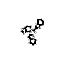 O=C(c1nc2ccccc2o1)N1CCc2[nH]cnc2[C@H]1c1cc2ccccn2n1